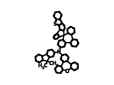 CC1(C)c2ccccc2-c2ccc(N(c3ccc4c(c3)-c3ccccc3Oc3ccccc3-4)c3ccc4c(c3)-c3ccccc3-c3ccccc3C43c4ccccc4-c4c3ccc3c4sc4ccccc43)cc21